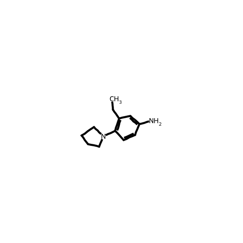 CCc1cc(N)ccc1N1CCCC1